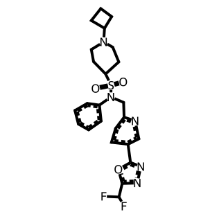 O=S(=O)(C1CCN(C2CCC2)CC1)N(Cc1ccc(-c2nnc(C(F)F)o2)cn1)c1ccccc1